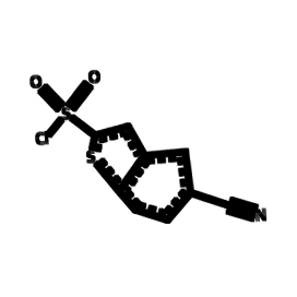 N#Cc1ccc2sc(S(=O)(=O)Cl)cc2c1